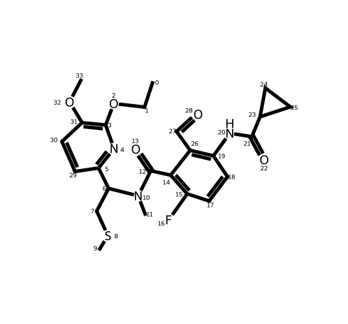 CCOc1nc(C(CSC)N(C)C(=O)c2c(F)ccc(NC(=O)C3CC3)c2C=O)ccc1OC